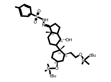 Cc1ccc(S(=O)(=O)NN=C2CCC3[C@H](O)C([C@@]4(C)CC[C@H](O[Si](C)(C)C(C)(C)C)C[C@@H]4CCO[Si](C)(C)C(C)(C)C)CC[C@]23C)cc1